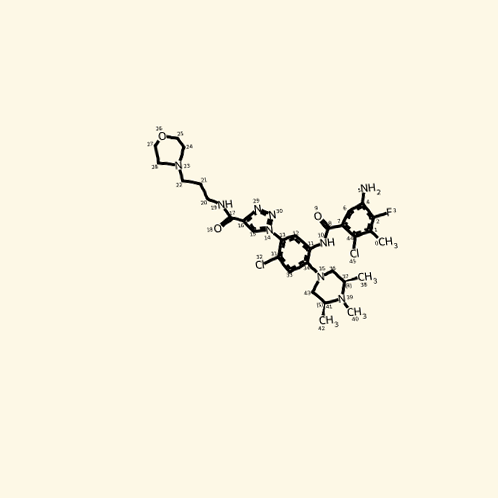 Cc1c(F)c(N)cc(C(=O)Nc2cc(-n3cc(C(=O)NCCCN4CCOCC4)nn3)c(Cl)cc2N2C[C@@H](C)N(C)[C@@H](C)C2)c1Cl